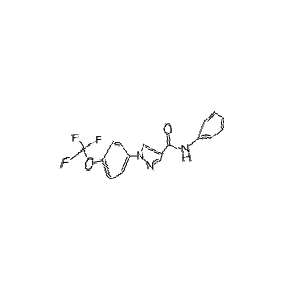 O=C(Nc1ccccc1)c1cnn(-c2ccc(OC(F)(F)F)cc2)c1